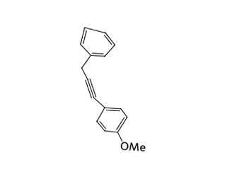 COc1ccc(C#CCc2ccccc2)cc1